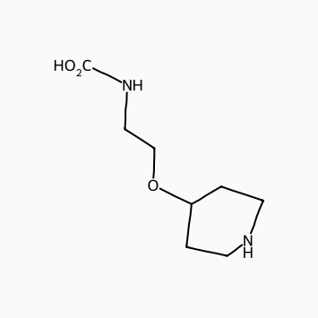 O=C(O)NCCOC1CCNCC1